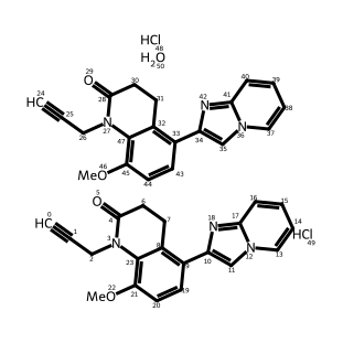 C#CCN1C(=O)CCc2c(-c3cn4ccccc4n3)ccc(OC)c21.C#CCN1C(=O)CCc2c(-c3cn4ccccc4n3)ccc(OC)c21.Cl.Cl.O